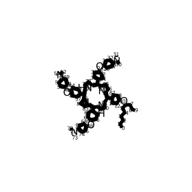 CCCCCCC(CCC)Oc1ccc(-c2c3nc(c(-c4ccc(Oc5ccc(N(C)C)cc5)cc4)c4ccc([nH]4)c(-c4ccc(Oc5ccc(N(C)C)cc5)cc4)c4nc(c(-c5ccc(Oc6ccc(N(C)C)cc6)cc5)c5ccc2[nH]5)C=C4)C=C3)cc1